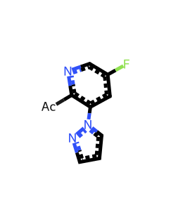 CC(=O)c1ncc(F)cc1-n1cccn1